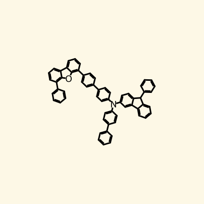 c1ccc(-c2ccc(N(c3ccc(-c4ccc(-c5cccc6c5oc5c(-c7ccccc7)cccc56)cc4)cc3)c3ccc4c(c3)-c3ccccc3C4c3ccccc3)cc2)cc1